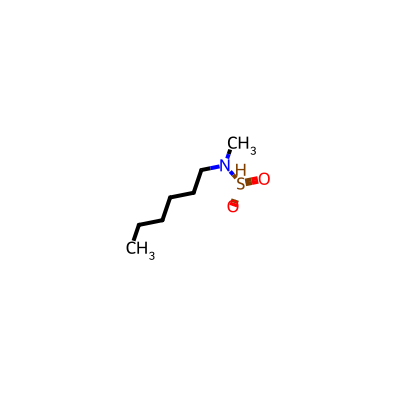 CCCCCCN(C)[SH](=O)=O